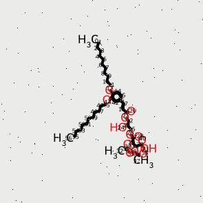 CCCCCCCCCCCCOc1ccc(C=CC(=O)OCC(O)COC(=O)C(OC(C)=O)C(OC(C)=O)C(=O)O)cc1OCCCCCCCCCCCC